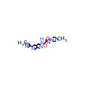 CN1CCN(c2nc(C(=O)Nc3cc4cc(-c5cnn(C)c5)ncc4cn3)co2)CC1